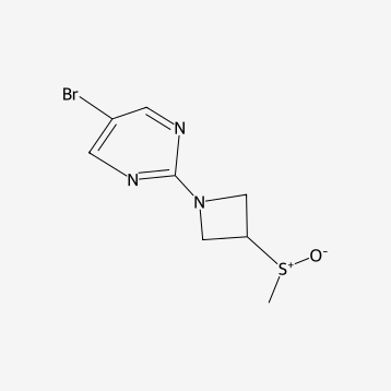 C[S+]([O-])C1CN(c2ncc(Br)cn2)C1